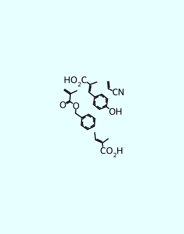 C=C(C)C(=O)OCc1ccccc1.C=CC#N.CC(=Cc1ccc(O)cc1)C(=O)O.CC=C(C)C(=O)O